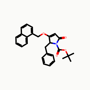 CC(C)(C)OC(=O)N1C(=O)C=C(OCc2cccc3ccccc23)C1Cc1ccccc1